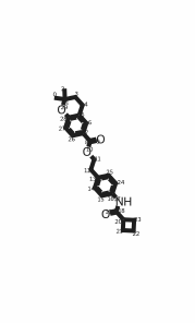 CC1(C)CCc2cc(C(=O)OCCc3ccc(NC(=O)C4CCC4)cc3)ccc2O1